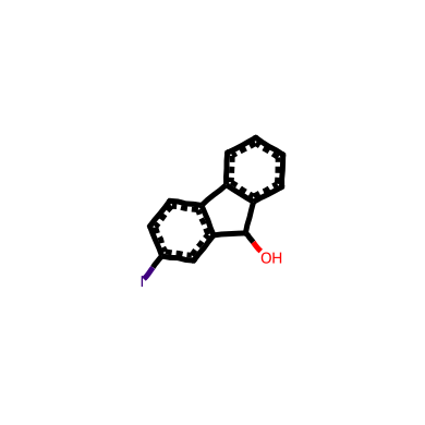 OC1c2ccccc2-c2ccc(I)cc21